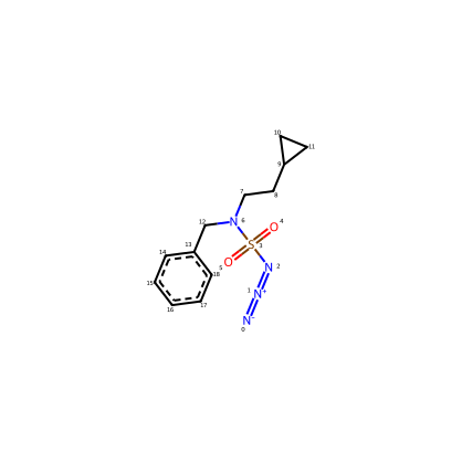 [N-]=[N+]=NS(=O)(=O)N(CCC1CC1)Cc1ccccc1